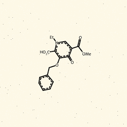 CCn1cc(C(=O)OC)c(=O)c(OCc2ccccc2)c1C(=O)O